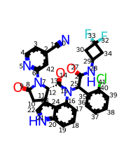 N#Cc1ccnc(N2C(=O)CC[C@H]2C(=O)N(c2cccc3[nH]ccc23)C(C(=O)NC2CC(F)(F)C2)c2ccccc2Cl)c1